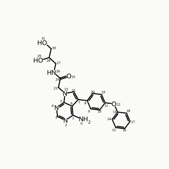 Nc1ncnc2c1c(-c1ccc(Oc3ccccc3)cc1)cn2CC(=O)NCC(O)CO